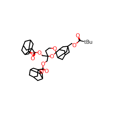 CC(C)(C)C(=O)OCC12CC3CC(C1)C1(OCCC(COC(=O)C45CC6CC(C4)C(=O)C(C6)C5)(COC(=O)C45CC6CC(C4)C(=O)C(C6)C5)O1)C(C3)C2